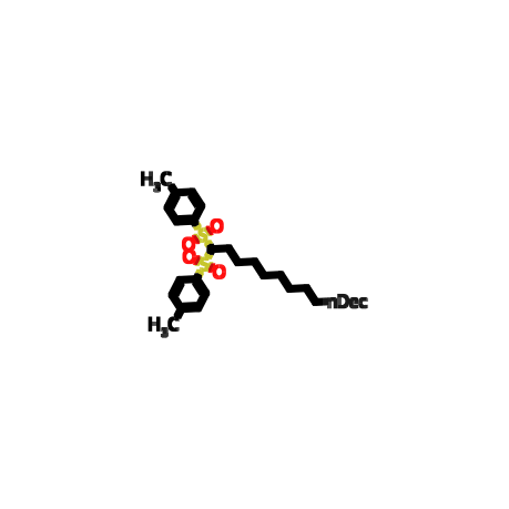 CCCCCCCCCCCCCCCCCCC(S(=O)(=O)c1ccc(C)cc1)S(=O)(=O)c1ccc(C)cc1